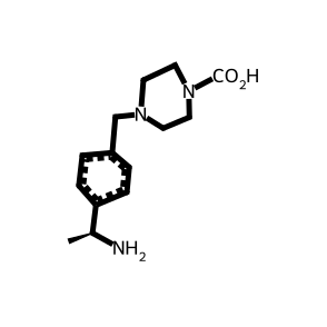 C[C@H](N)c1ccc(CN2CCN(C(=O)O)CC2)cc1